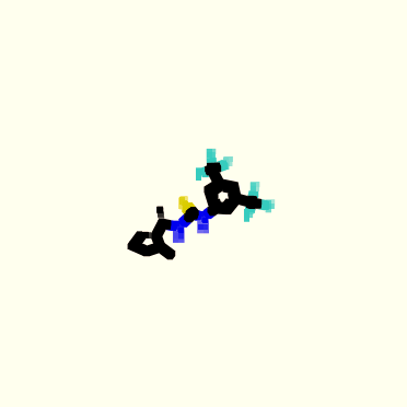 CC1CCC[C@@H]1[C@H](C)NC(=S)Nc1cc(C(F)(F)F)cc(C(F)(F)F)c1